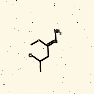 CC/C(CC(C)Cl)=N\N